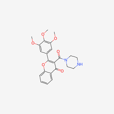 COc1cc(-c2oc3ccccc3c(=O)c2C(=O)N2CCNCC2)cc(OC)c1OC